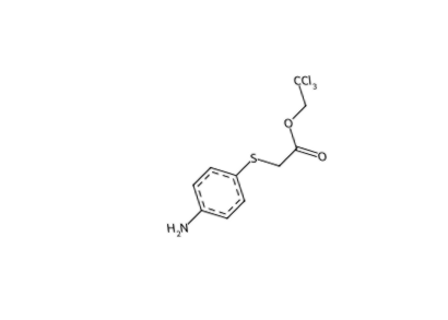 Nc1ccc(SCC(=O)OCC(Cl)(Cl)Cl)cc1